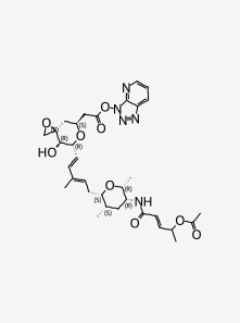 CC(=O)OC(C)C=CC(=O)N[C@@H]1C[C@H](C)[C@H](CC=C(C)C=C[C@H]2O[C@H](CC(=O)On3nnc4cccnc43)C[C@@]3(CO3)[C@@H]2O)O[C@@H]1C